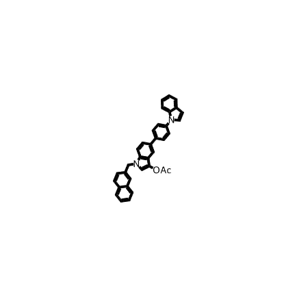 CC(=O)Oc1cn(Cc2ccc3ccccc3c2)c2ccc(-c3ccc(-n4ccc5ccccc54)cc3)cc12